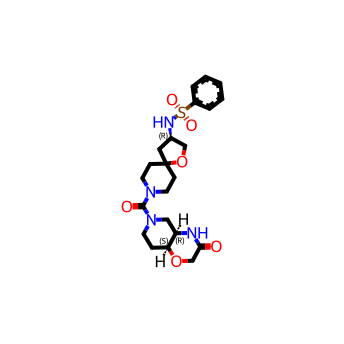 O=C1CO[C@H]2CCN(C(=O)N3CCC4(CC3)C[C@@H](NS(=O)(=O)c3ccccc3)CO4)C[C@H]2N1